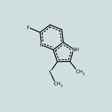 CSc1c(C)[nH]c2ccc(F)nc12